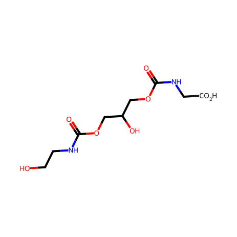 O=C(O)CNC(=O)OCC(O)COC(=O)NCCO